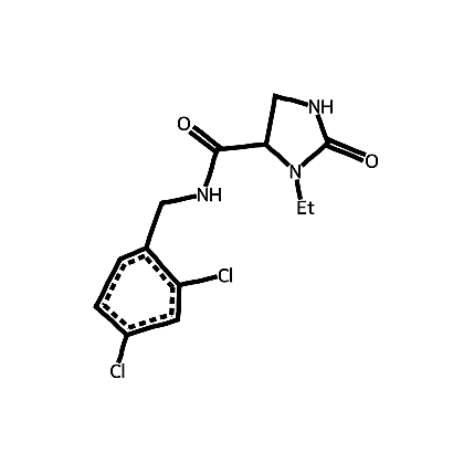 CCN1C(=O)NCC1C(=O)NCc1ccc(Cl)cc1Cl